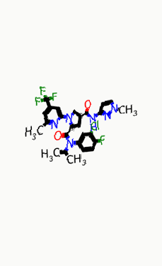 Cc1cc(C(F)(F)F)cc(N2C[C@@H](C(=O)Nc3ccn(C)n3)C[C@H]2C(=O)N(c2ccc(F)c(Cl)c2)C(C)C)n1